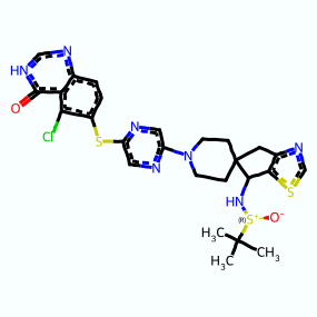 CC(C)(C)[S@+]([O-])NC1c2scnc2CC12CCN(c1cnc(Sc3ccc4nc[nH]c(=O)c4c3Cl)cn1)CC2